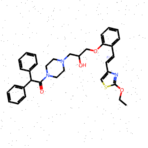 CCOc1nc(/C=C/c2ccccc2OCC(O)CN2CCN(C(=O)C(c3ccccc3)c3ccccc3)CC2)cs1